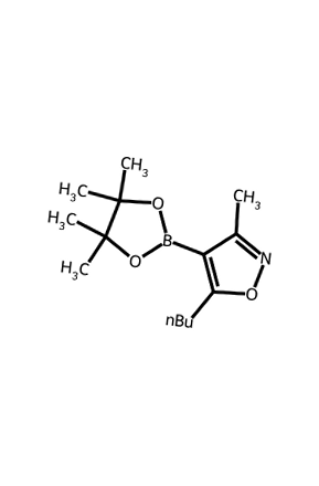 CCCCc1onc(C)c1B1OC(C)(C)C(C)(C)O1